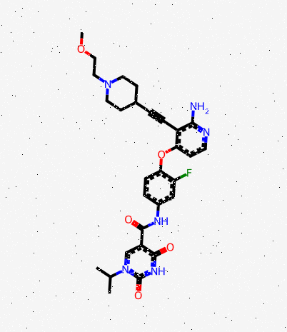 COCCN1CCC(C#Cc2c(Oc3ccc(NC(=O)c4cn(C(C)C)c(=O)[nH]c4=O)cc3F)ccnc2N)CC1